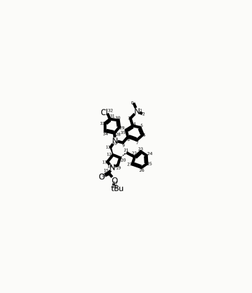 CN(C)Cc1cccc(CN(C[C@@H]2CN(C(=O)OC(C)(C)C)C[C@H]2Cc2ccccc2)c2ccc(Cl)cc2)c1